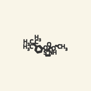 CCOC(=O)C1(Oc2cccc(C(C)(C)C)c2)NC=CS1